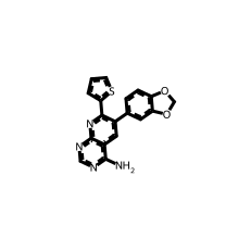 Nc1ncnc2nc(-c3cccs3)c(-c3ccc4c(c3)OCO4)cc12